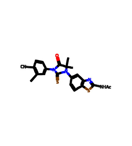 [C-]#[N+]c1ccc(N2C(=O)C(C)(C)N(c3ccc4sc(NC(C)=O)nc4c3)C2=S)cc1C